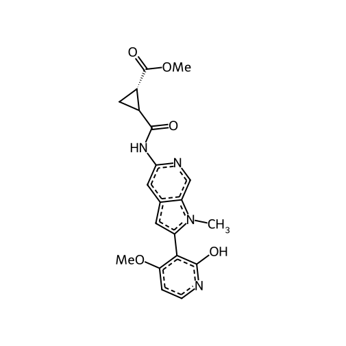 COC(=O)[C@H]1CC1C(=O)Nc1cc2cc(-c3c(OC)ccnc3O)n(C)c2cn1